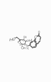 O=c1ccc2ccc(N[C@H]3C(O)[C@H](O)C(CO)O[C@H]3O)cc2o1